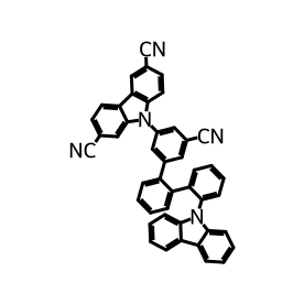 N#Cc1cc(-c2ccccc2-c2ccccc2-n2c3ccccc3c3ccccc32)cc(-n2c3ccc(C#N)cc3c3ccc(C#N)cc32)c1